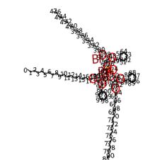 CCCCCCCCCCCCCCCCCCOCC(COP(=O)(OCC(COCCCCCCCCCCCCCCCCCC)(OCc1ccccc1)C(C)Br)OCC(COCCCCCCCCCCCCCCCCCC)(OCc1ccccc1)C(C)Br)(OCc1ccccc1)C(C)Br